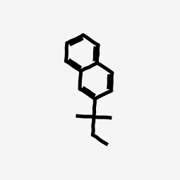 CCC(C)(C)c1[c]cc2ccccc2c1